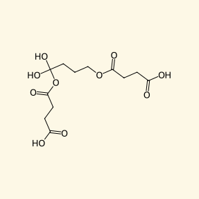 O=C(O)CCC(=O)OCCCC(O)(O)OC(=O)CCC(=O)O